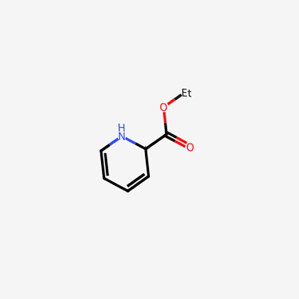 CCOC(=O)[C]1C=CC=CN1